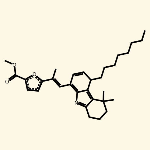 CCCCCCCCC1C=CC(/C=C(\C)c2ccc(C(=O)OC)o2)=C2N=C3CCCC(C)(C)C3=C21